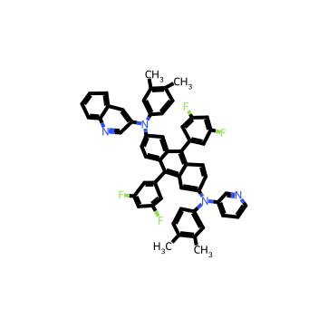 Cc1ccc(N(c2cccnc2)c2ccc3c(-c4cc(F)cc(F)c4)c4cc(N(c5ccc(C)c(C)c5)c5cnc6ccccc6c5)ccc4c(-c4cc(F)cc(F)c4)c3c2)cc1C